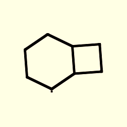 [CH]1CCCC2CCC12